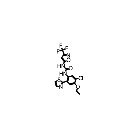 CCOc1cc(-c2nccs2)c(NC(=O)Nc2cc(C(F)(F)F)no2)cc1Cl